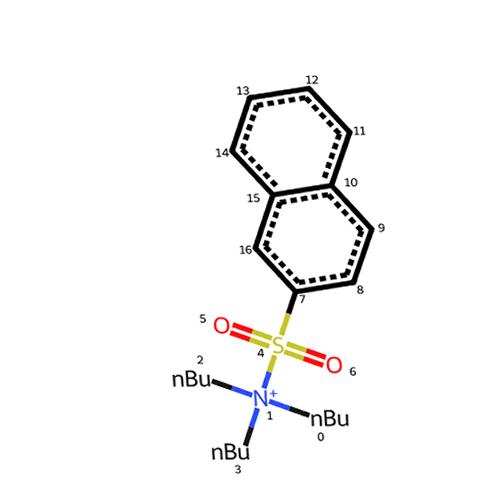 CCCC[N+](CCCC)(CCCC)S(=O)(=O)c1ccc2ccccc2c1